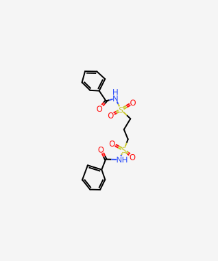 O=C(NS(=O)(=O)CCCS(=O)(=O)NC(=O)c1ccccc1)c1ccccc1